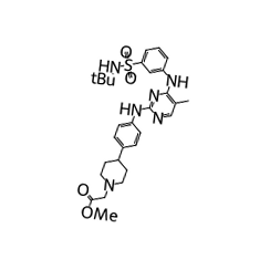 COC(=O)CN1CCC(c2ccc(Nc3ncc(C)c(Nc4cccc(S(=O)(=O)NC(C)(C)C)c4)n3)cc2)CC1